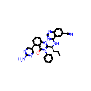 CCC[C@H](Nc1ncnc2ccc(C#N)cc12)c1nc2cccc(-c3cnc(N)nc3)c2c(=O)n1-c1ccccc1